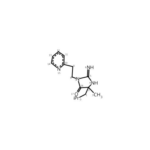 CC(C)CC1(C)NC(=N)N(CCc2ccccn2)C1=O